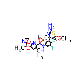 COC[C@]12CC1[C@@](C)(c1cc(NC(=O)c3ncc(O[C@@H](C)c4ncco4)cc3C)cc(F)c1F)N=C(N)S2